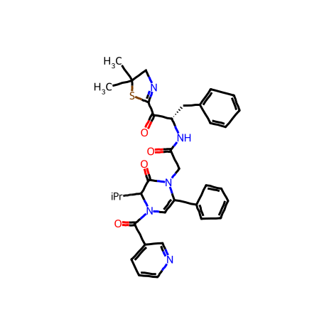 CC(C)C1C(=O)N(CC(=O)N[C@@H](Cc2ccccc2)C(=O)C2=NCC(C)(C)S2)C(c2ccccc2)=CN1C(=O)c1cccnc1